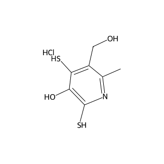 Cc1nc(S)c(O)c(S)c1CO.Cl